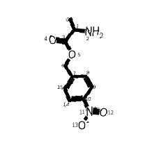 [CH2]C(N)C(=O)OCc1ccc([N+](=O)[O-])cc1